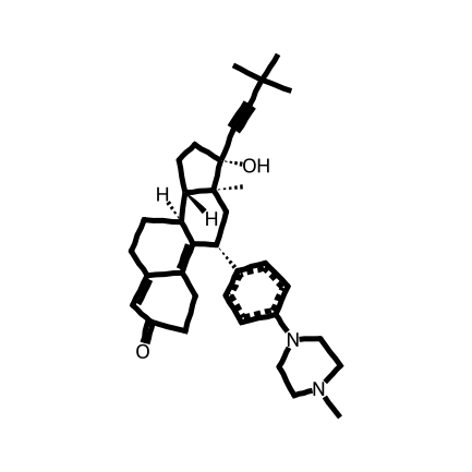 CN1CCN(c2ccc([C@H]3C[C@@]4(C)[C@@H](CC[C@@]4(O)C#CC(C)(C)C)[C@@H]4CCC5=CC(=O)CCC5=C43)cc2)CC1